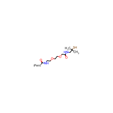 CCCC(C)C(=O)NCCOCCOCC(=O)NCC(C)(C)S